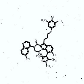 Cc1cc(OCCCc2c3n(c4c(-c5c(C)nn(C)c5C)c(Cl)ccc24)[C@H](C)CN(c2ccnc4ccc(C#N)cc24)C3=O)cc(C)c1Cl